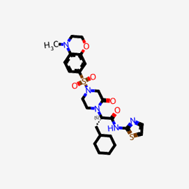 CN1CCOc2cc(S(=O)(=O)N3CCN([C@@H](CC4CCCCC4)C(=O)Nc4nccs4)C(=O)C3)ccc21